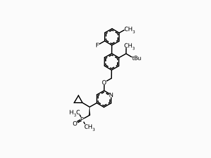 Cc1ccc(F)c(-c2ccc(COc3cc([C@@H](CP(C)(C)=O)C4CC4)ccn3)cc2C(C)C(C)(C)C)c1